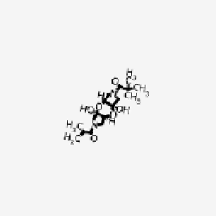 CC(C)C(=O)N1C[C@@H]2O[C@]3(O)CN(C(=O)C(C)(C)C)C[C@@H]3O[C@]2(O)C1